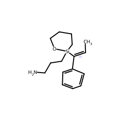 C/C=C(/c1ccccc1)[Si]1(CCCN)CCCCO1